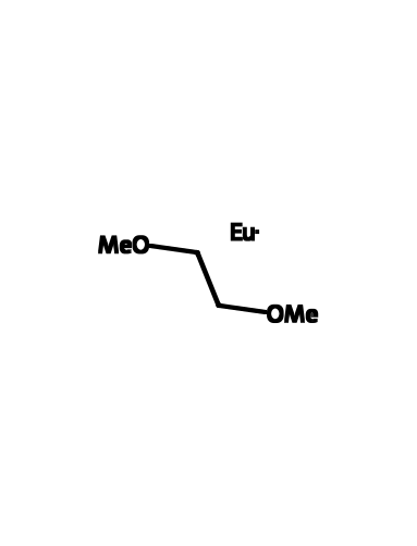 COCCOC.[Eu]